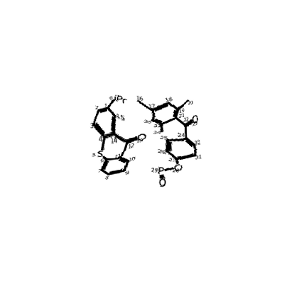 CC(C)c1ccc2sc3ccccc3c(=O)c2c1.Cc1cc(C)c(C(=O)c2ccc(OP=O)cc2)c(C)c1